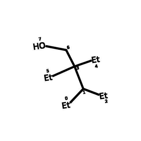 CCC(CC)C(CC)(CC)CO